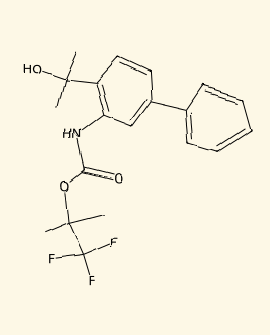 CC(C)(O)c1ccc(-c2ccccc2)cc1NC(=O)OC(C)(C)C(F)(F)F